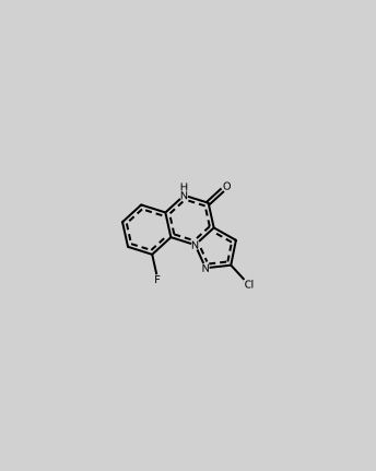 O=c1[nH]c2cccc(F)c2n2nc(Cl)cc12